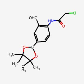 CC1(C)OB(c2ccc(NC(=O)CCl)c(C=O)c2)OC1(C)C